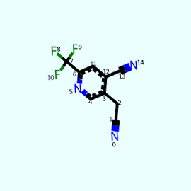 N#CCc1cnc(C(F)(F)F)cc1C#N